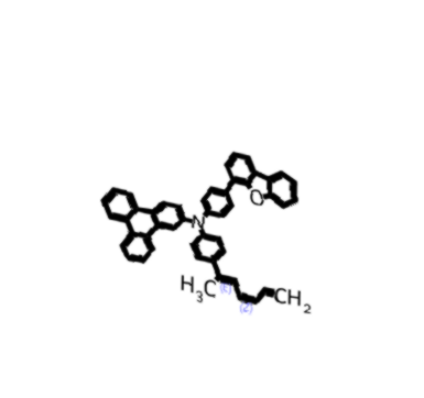 C=C/C=C\C=C(/C)c1ccc(N(c2ccc(-c3cccc4c3oc3ccccc34)cc2)c2ccc3c4ccccc4c4ccccc4c3c2)cc1